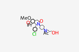 COc1cc2c(cc1OC(C)C)C(c1ccc(Cl)cc1)N(C1CCC(N(CCCO)C(C)=O)CC1)C(=O)C2